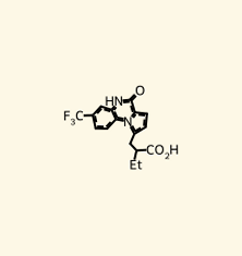 CCC(Cc1ccc2c(=O)[nH]c3cc(C(F)(F)F)ccc3n12)C(=O)O